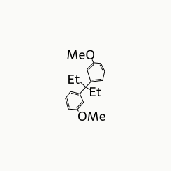 CCC(CC)(c1cccc(OC)c1)c1cccc(OC)c1